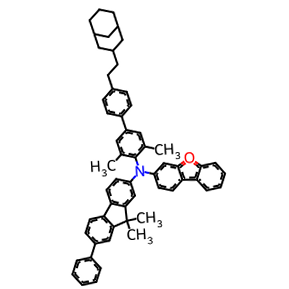 Cc1cc(-c2ccc(CCC3CC4CCCC(C4)C3)cc2)cc(C)c1N(c1ccc2c(c1)C(C)(C)c1cc(-c3ccccc3)ccc1-2)c1ccc2c(c1)oc1ccccc12